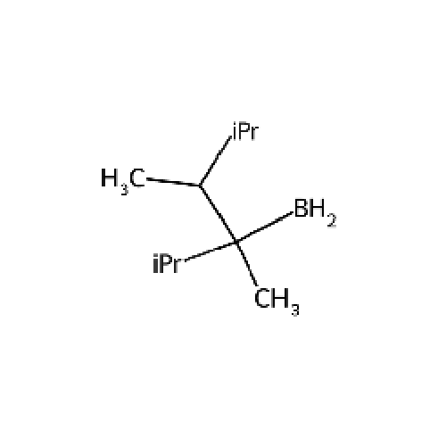 BC(C)(C(C)C)C(C)C(C)C